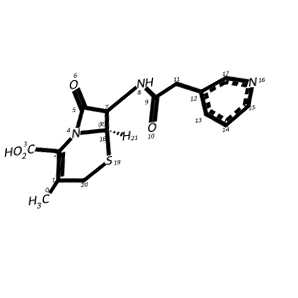 CC1=C(C(=O)O)N2C(=O)C(NC(=O)Cc3cccnc3)[C@H]2SC1